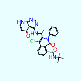 C[C@H](Nc1ncnc2[nH]ccc(=O)c12)c1c(Cl)c2cccc(C(=O)NC(C)(C)C)c2c(=O)n1-c1ccccc1